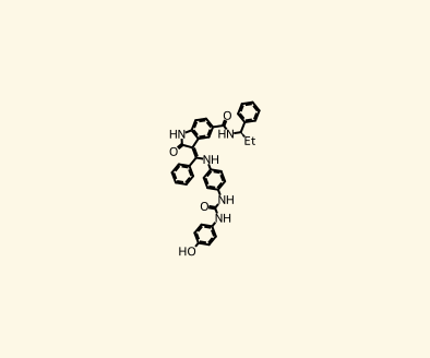 CC[C@@H](NC(=O)c1ccc2c(c1)C(=C(Nc1ccc(NC(=O)Nc3ccc(O)cc3)cc1)c1ccccc1)C(=O)N2)c1ccccc1